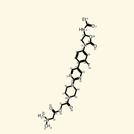 CCC(=O)NC1CN(c2ccc(-c3cnc(N4CCN(C(=O)COC(=O)CN(C)C)CC4)nc3)c(F)c2)C(=O)O1